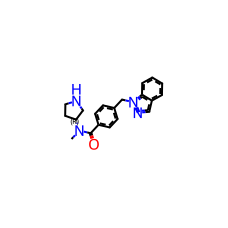 CN(C(=O)c1ccc(Cn2ncc3ccccc32)cc1)[C@@H]1CCNC1